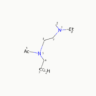 CCN(C)CCN(CC(=O)O)C(C)=O